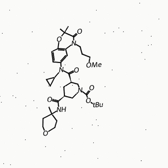 COCCCN1C(=O)C(C)(C)Oc2ccc(N(C(=O)[C@@H]3C[C@H](C(=O)NC4(C)CCOCC4)CN(C(=O)OC(C)(C)C)C3)C3CC3)cc21